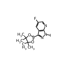 CC1(C)OB(c2nn(I)c3ncc(F)cc23)OC1(C)C